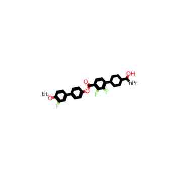 CCCC(O)C1CCC(c2ccc(C(=O)Oc3ccc(-c4ccc(OCC)c(F)c4)cc3)c(F)c2F)CC1